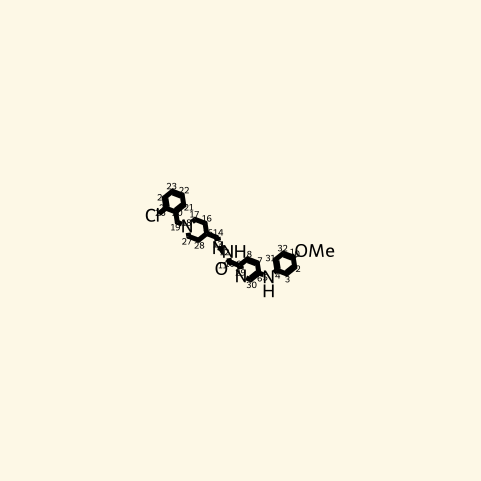 COc1ccc(Nc2ccc(C(=O)NN=CC3CCN(Cc4ccccc4Cl)CC3)nc2)cc1